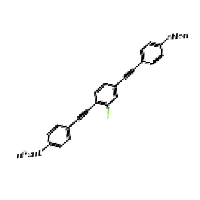 CCCCCCCCCc1ccc(C#Cc2ccc(C#Cc3ccc(CCCCC)cc3)c(F)c2)cc1